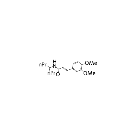 CCCC(CCC)NC(=O)/C=C/c1ccc(OC)c(OC)c1